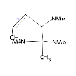 C/C=C\C(NC)C(C)(NC)NC